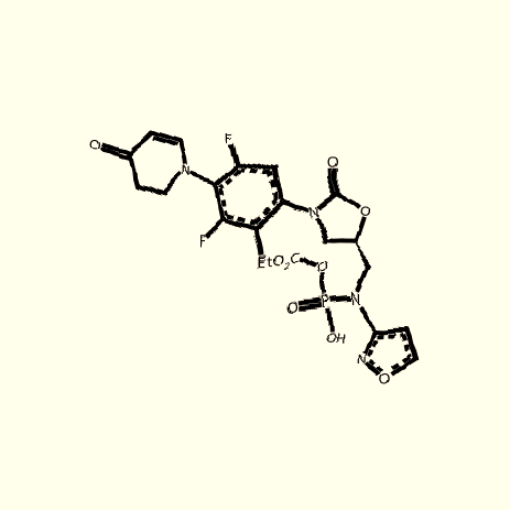 CCOC(=O)OP(=O)(O)N(C[C@H]1CN(c2cc(F)c(N3C=CC(=O)CC3)c(F)c2F)C(=O)O1)c1ccon1